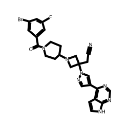 N#CCC1(n2cc(-c3ncnc4[nH]ccc34)cn2)CN(C2CCN(C(=O)c3cc(F)cc(Br)c3)CC2)C1